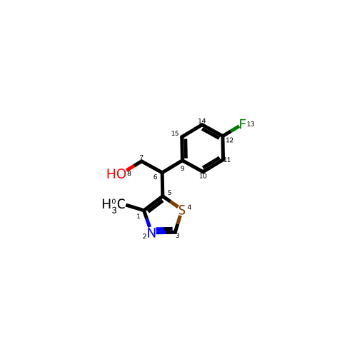 Cc1ncsc1C(CO)c1ccc(F)cc1